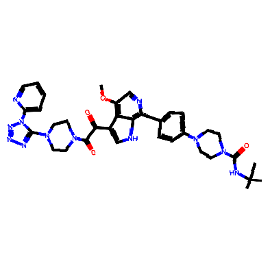 COc1cnc(-c2ccc(N3CCN(C(=O)NC(C)(C)C)CC3)cc2)c2[nH]cc(C(=O)C(=O)N3CCN(c4nnnn4-c4ccccn4)CC3)c12